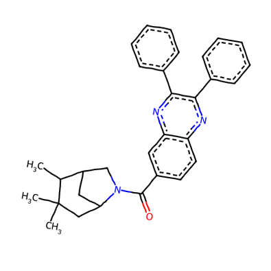 CC1C2CC(CC1(C)C)N(C(=O)c1ccc3nc(-c4ccccc4)c(-c4ccccc4)nc3c1)C2